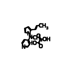 CC=Cc1cccn1N(C)c1ccncc1.O=C(O)C(=O)O